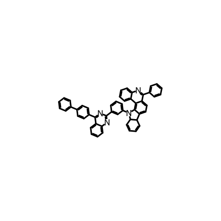 C1=CC2c3ccc4c(-c5ccccc5)nc5ccccc5c4c3N(c3cccc(-c4nc(-c5ccc(-c6ccccc6)cc5)c5ccccc5n4)c3)C2C=C1